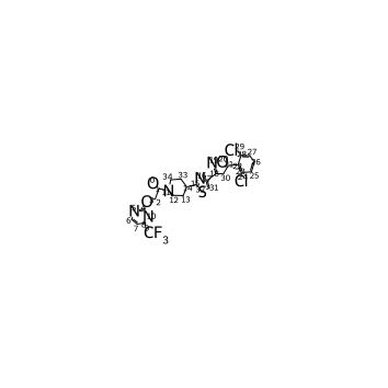 O=C(COc1nccc(C(F)(F)F)n1)N1CCC(c2nc(C3=NOC(c4c(Cl)cccc4Cl)C3)cs2)CC1